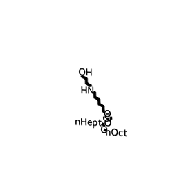 CCCCCCCCOC(CCCCCCC)O[Si](C)(C)OCCCCCCNCCCCO